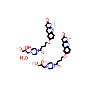 O.O=C1Cc2cc3cc(OCCCC(=O)N4CCN(CC(O)CO)CC4)ccc3nc2N1.O=C1Cc2cc3cc(OCCCC(=O)N4CCN(CC(O)CO)CC4)ccc3nc2N1